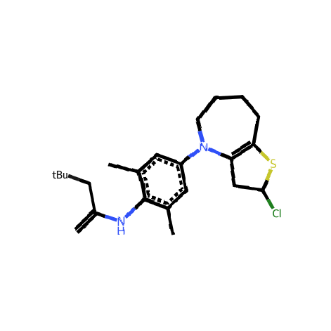 C=C(CC(C)(C)C)Nc1c(C)cc(N2CCCCC3=C2CC(Cl)S3)cc1C